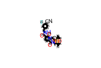 COC1(S(=O)(=O)C2(CN3CCn4c(ccc(C(=O)NCc5ccc(C#N)c(F)c5)c4=O)C3=O)CC2)CC1